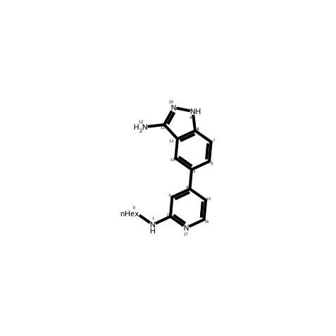 CCCCCCNc1cc(-c2ccc3[nH]nc(N)c3c2)ccn1